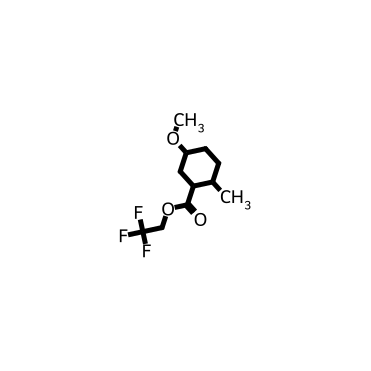 COC1CCC(C)C(C(=O)OCC(F)(F)F)C1